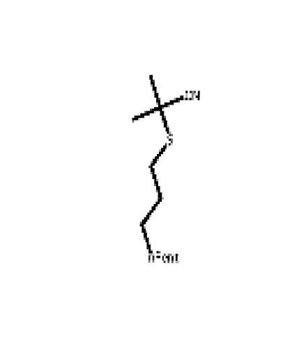 CCCCCCCCSC(C)(C)C#N